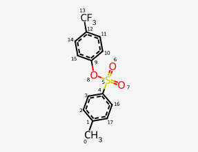 Cc1ccc(S(=O)(=O)Oc2ccc(C(F)(F)F)cc2)cc1